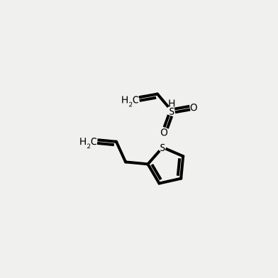 C=CCc1cccs1.C=C[SH](=O)=O